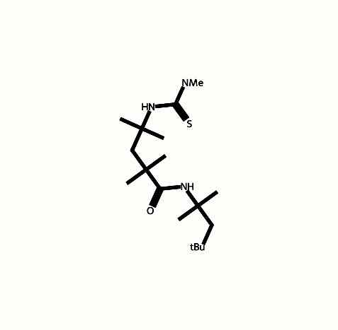 CNC(=S)NC(C)(C)CC(C)(C)C(=O)NC(C)(C)CC(C)(C)C